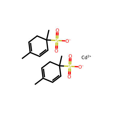 CC1=CCC(C)(S(=O)(=O)[O-])C=C1.CC1=CCC(C)(S(=O)(=O)[O-])C=C1.[Cd+2]